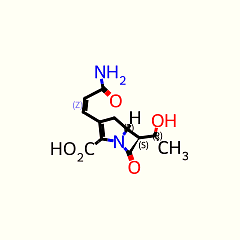 C[C@@H](O)[C@H]1C(=O)N2C(C(=O)O)=C(/C=C\C(N)=O)C[C@H]12